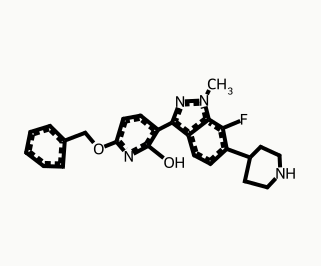 Cn1nc(-c2ccc(OCc3ccccc3)nc2O)c2ccc(C3CCNCC3)c(F)c21